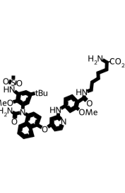 COc1cc(Nc2cc(Oc3ccc(N(C(N)=O)c4cc(C(C)(C)C)cc(NS(C)(=O)=O)c4OC)c4ccccc34)ccn2)ccc1C(=O)NCCCCC[C@H](N)C(=O)O